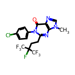 Cn1cnc2c(=O)n(-c3ccc(Cl)cc3)c(CCC(F)(C(F)(F)F)C(F)(F)F)nc21